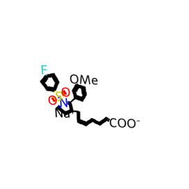 COc1cccc([C@H]2[C@@H](C/C=C\CCCC(=O)[O-])CCN2S(=O)(=O)c2ccc(F)cc2)c1.[Na+]